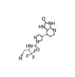 N#CCC(NC(=O)n1cc(-c2ccnc3[nH]c(=O)[nH]c23)cn1)C(F)(F)F